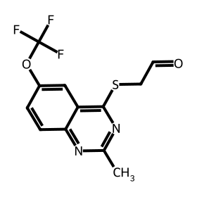 Cc1nc(SCC=O)c2cc(OC(F)(F)F)ccc2n1